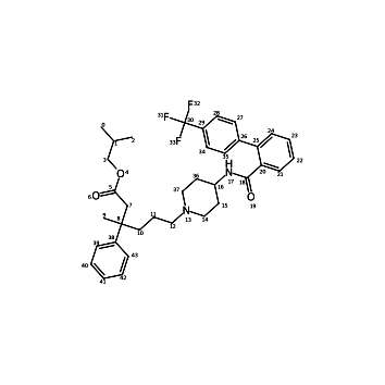 CC(C)COC(=O)CC(C)(CCCN1CCC(NC(=O)c2ccccc2-c2ccc(C(F)(F)F)cc2)CC1)c1ccccc1